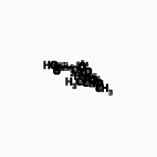 [2H]C(c1ccccc1OCCCCCC(=O)O)N(C(=O)c1ccc(OC)cc1)C(C)C